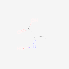 C/C(=N/O)C(=O)O